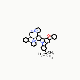 CC(C)(C)c1ccc2c(c1)c1cc3c4ccccc4oc3c3c4cc5c(cc4n2c13)C1C(C/C=C/[n+]2ccccc2-5)c2ccccc2-c2cccc[n+]21